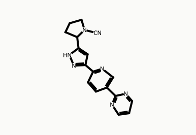 N#CN1CCCC1c1cc(-c2ccc(-c3ncccn3)cn2)n[nH]1